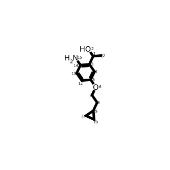 [CH2]C(O)c1cc(OCCC2CC2)ccc1N